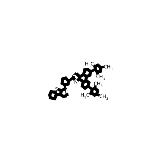 Cc1cc(C)c(-c2ccc3c(c2)c2cc(-c4c(C)cc(C)cc4C)ccc2c2nc(-c4cccc(-c5cccc6c5sc5ccccc56)c4)ccc32)c(C)c1